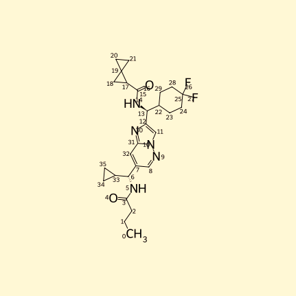 CCCC(=O)N[C@@H](c1cnn2cc([C@@H](NC(=O)C3CC34CC4)C3CCC(F)(F)CC3)nc2c1)C1CC1